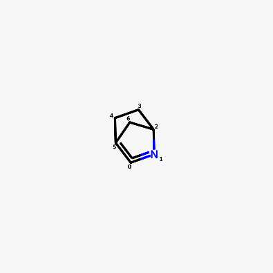 C1=NC2CCC=1C2